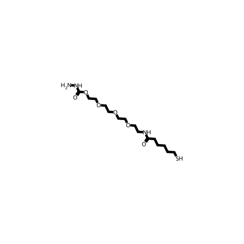 NNC(=O)OCCOCCOCCOCCNC(=O)CCCCCS